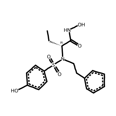 CC[C@H](C(=O)NO)N(CCc1ccccc1)S(=O)(=O)c1ccc(O)cc1